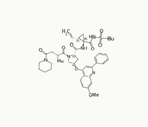 C=C[C@@H]1C[C@]1(NC(=O)[C@@H]1C[C@@H](Oc2cc(-c3ccccc3)nc3cc(OC)ccc23)CN1C(=O)C(CC(=O)N1CCCCC1)C(C)(C)C)C(=O)NS(=O)(=O)C(C)CC